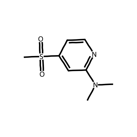 CN(C)c1cc(S(C)(=O)=O)ccn1